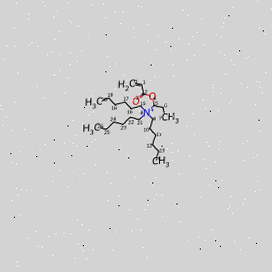 C=CC(=O)OC(CC)[N+](CCCCCC)(CCCCCC)CCCCCC